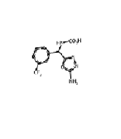 Nc1nnc(C(NC(=O)O)c2cccc(C(F)(F)F)c2)o1